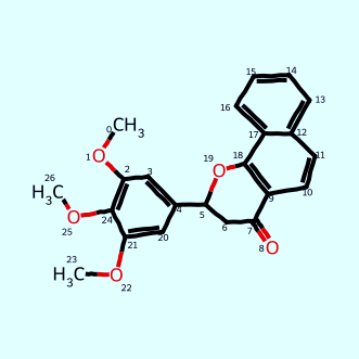 COc1cc(C2CC(=O)c3ccc4ccccc4c3O2)cc(OC)c1OC